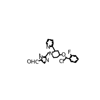 Cn1c(C=O)cnc1CN1CCC(OC(Cl)c2ccccc2F)CC1c1ccccn1